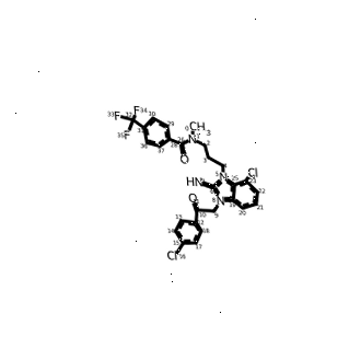 CN(CCCn1c(=N)n(CC(=O)c2ccc(Cl)cc2)c2cccc(Cl)c21)C(=O)c1ccc(C(F)(F)F)cc1